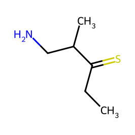 CCC(=S)C(C)CN